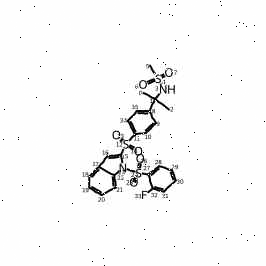 CC(C)(NS(C)(=O)=O)c1ccc(S(=O)(=O)c2cc3ccccc3n2S(=O)(=O)c2ccccc2F)cc1